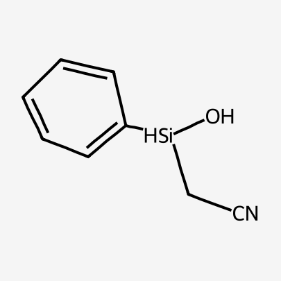 N#CC[SiH](O)c1ccccc1